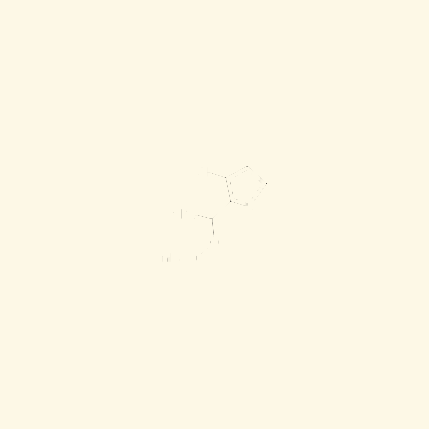 [CH2]CCCCOC(CCCC)c1sccc1Cl